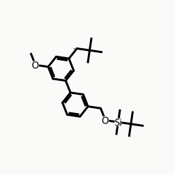 COc1cc([CH]C(C)(C)C)cc(-c2cccc(CO[Si](C)(C)C(C)(C)C)c2)c1